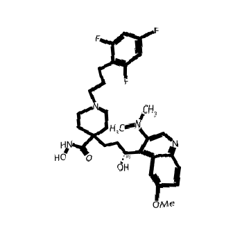 COc1ccc2ncc(N(C)C)c([C@H](O)CCC3(C(=O)NO)CCN(CCCc4c(F)cc(F)cc4F)CC3)c2c1